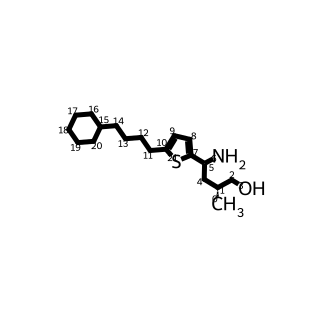 C[C@@H](CO)CC(N)c1ccc(CCCCC2CCCCC2)s1